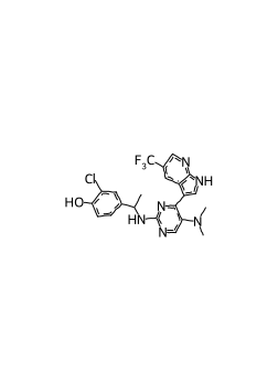 CC(Nc1ncc(N(C)C)c(-c2c[nH]c3ncc(C(F)(F)F)cc23)n1)c1ccc(O)c(Cl)c1